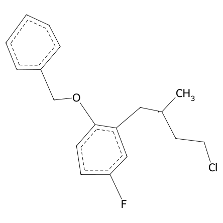 C[C](CCCl)Cc1cc(F)ccc1OCc1ccccc1